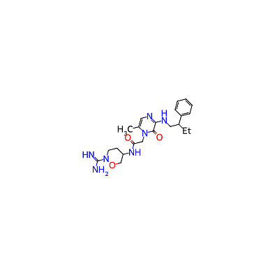 CCC(CNc1ncc(C)n(CC(=O)NC2CCN(C(=N)N)OC2)c1=O)c1ccccc1